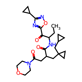 CCC(NC(=O)C(CC(=O)N1CCOCC1)CC1(CC2CC2)CC1)C(=O)c1nc(C2CC2)no1